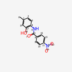 Cc1ccc(NC(=O)c2ccc([N+](=O)[O-])cc2)c(O)c1